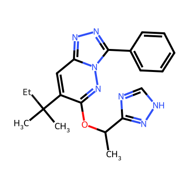 CCC(C)(C)c1cc2nnc(-c3ccccc3)n2nc1OC(C)c1nc[nH]n1